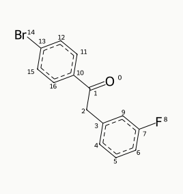 O=C(Cc1cccc(F)c1)c1ccc(Br)cc1